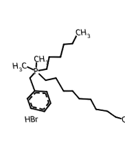 Br.CCCCCCCCCCP(C)(C)(CCCCCC)Cc1ccccc1